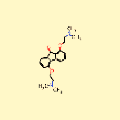 CN(C)CCOc1cccc2c1C(=O)c1cccc(OCCN(C)C)c1-2